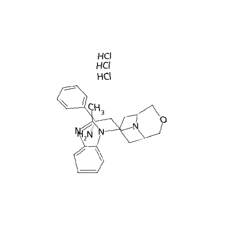 Cc1nc2ccccc2n1C1CC2COCC(C1)N2CC[C@H](N)c1ccccc1.Cl.Cl.Cl